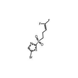 O=S(=O)(CCC=C(F)F)c1ncc(Br)s1